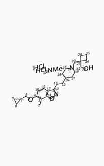 CNC.Cc1c(OCC2CC2)ccc2c(CCC3CCN(CC4(CO)CCC4)CC3)noc12.Cl.Cl